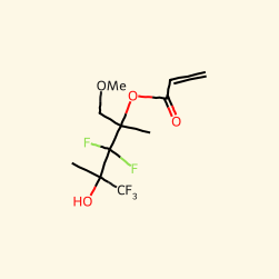 C=CC(=O)OC(C)(COC)C(F)(F)C(C)(O)C(F)(F)F